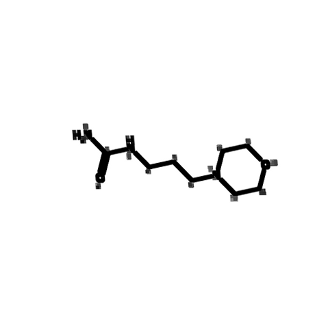 NC(=O)NCCCN1CCOCC1